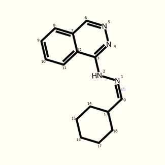 C(=N/Nc1nncc2ccccc12)/C1CCCCC1